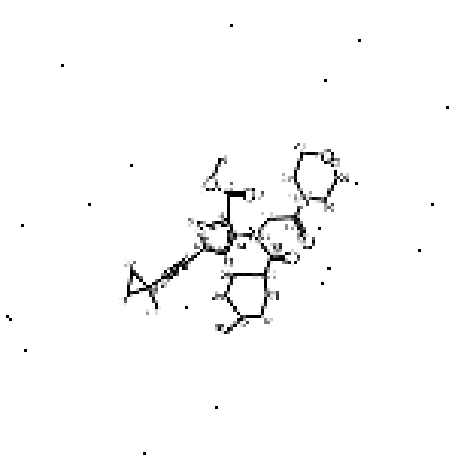 COC(=O)c1sc(C#CC2(C)CC2)cc1N(CC(=O)N1CCOCC1)C(=O)C1CCC(C)CC1